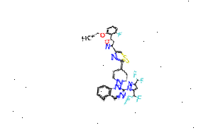 C#CCOc1cccc(F)c1C1CC(c2csc(C3CCN(N4c5ccccc5C=NC4n4nc(C(F)F)cc4C(F)F)CC3)n2)=NO1